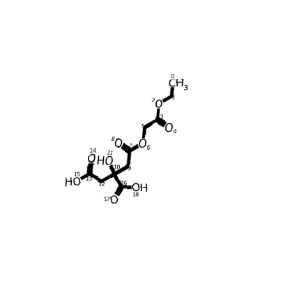 CCOC(=O)COC(=O)CC(O)(CC(=O)O)C(=O)O